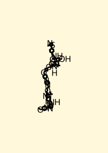 COC1CCN(c2nccc(Nc3cc4c(cn3)nc(COCCN3CCN(c5ccc(OC6CC(OCC(=O)NC(C(=O)N7CC(O)CC7C(=O)NCc7ccc(-c8scnc8C)cc7)C(C)(C)C)C6)cc5)CC3)n4C(C)C)n2)CC1